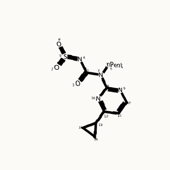 CCCCCN(C(=O)N=S(=O)=O)c1nccc(C2CC2)n1